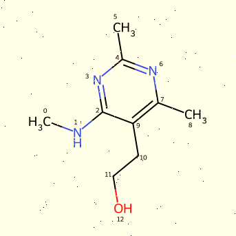 CNc1nc(C)nc(C)c1CCO